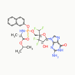 CC(C)OC(=O)[C@H](C)NP(=S)(OC[C@@]1(C(F)F)O[C@@H](n2cnc3c(=O)[nH]c(N)nc32)[C@H](O)C1(F)F)Oc1ccc2ccccc2c1